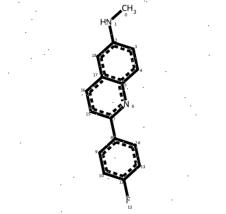 CNc1ccc2nc(-c3ccc(F)cc3)ccc2c1